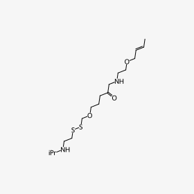 C/C=C/COCCNCC(=O)CCCOCSSCCNC(C)C